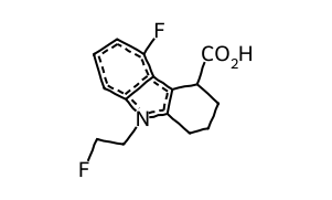 O=C(O)C1CCCc2c1c1c(F)cccc1n2CCF